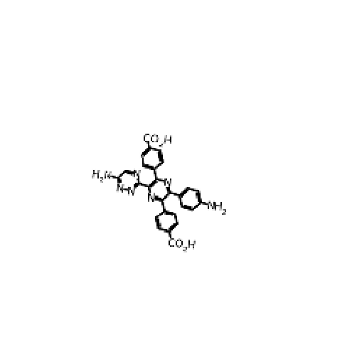 Nc1ccc(-c2nc(-c3ccc(C(=O)O)cc3)c(-c3ncc(N)nn3)nc2-c2ccc(C(=O)O)cc2)cc1